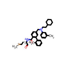 CSCC[C@@H](C=O)NC(=O)c1ccc(CN(CCC2CCCCC2)c2cccc(C)c2)cc1-c1ccccc1C